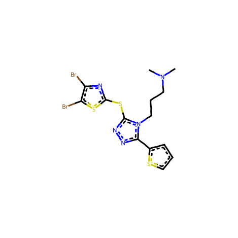 CN(C)CCCn1c(Sc2nc(Br)c(Br)s2)nnc1-c1cccs1